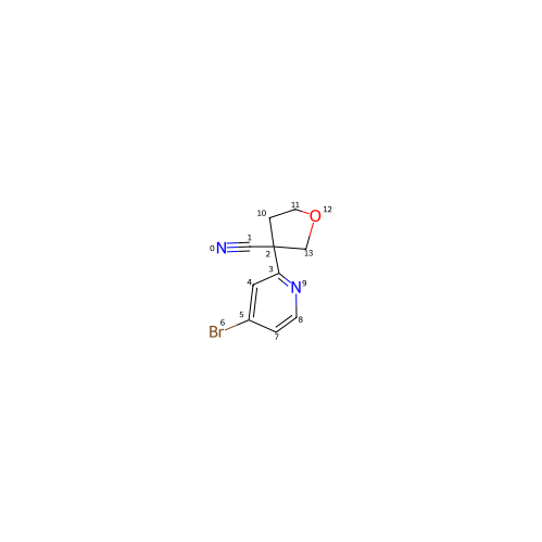 N#CC1(c2cc(Br)ccn2)CCOC1